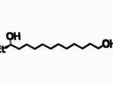 CC[C@@H](O)CCCCCCCCCCCO